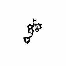 CC(C)(C)[S+]([O-])NC1CCC2CN(Cc3ccccc3)CC21